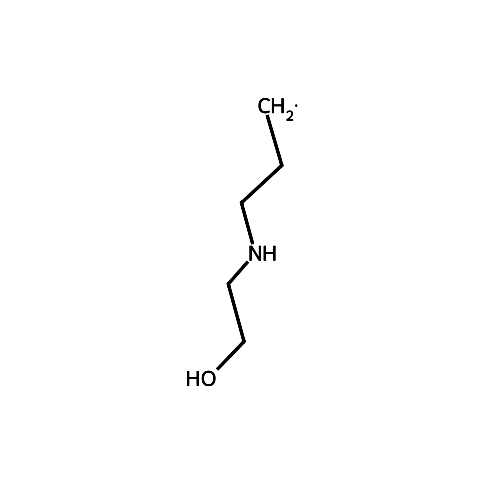 [CH2]CCNCCO